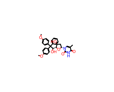 COc1ccc(C(c2ccccc2)(c2ccc(OC)cc2)C(O)[C@@H]2O[C@@H](n3cc(C)c(=O)[nH]c3=O)C[C@H]2O)cc1